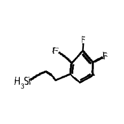 Fc1ccc(CC[SiH3])c(F)c1F